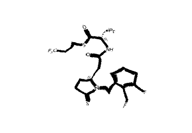 CC(C)[C@H](NC(=O)C[C@@H]1CCC(=S)N1Cc1cccc(F)c1F)C(=O)SCCC(F)(F)F